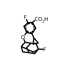 O=C(O)c1cc(C2CC2)c(OC2C3CC4CC2CC(F)(C4)C3)cc1F